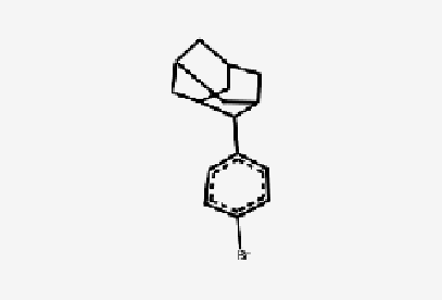 Brc1ccc(C2C3CC4CC(C3)CC2C4)cc1